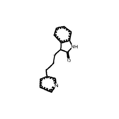 O=C1Nc2ccccc2C1[CH]CCc1cccnc1